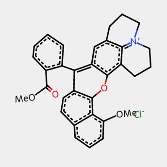 COC(=O)c1ccccc1C1=c2cc3c4c(c2Oc2c1ccc1cccc(OC)c21)CCC[N+]=4CCC3.[Cl-]